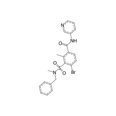 Cc1c(C(=O)Nc2cccnc2)ccc(Br)c1S(=O)(=O)N(C)Cc1ccccc1